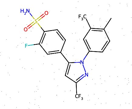 Cc1ccc(-n2nc(C(F)(F)F)cc2-c2ccc(S(N)(=O)=O)c(F)c2)cc1C(F)(F)F